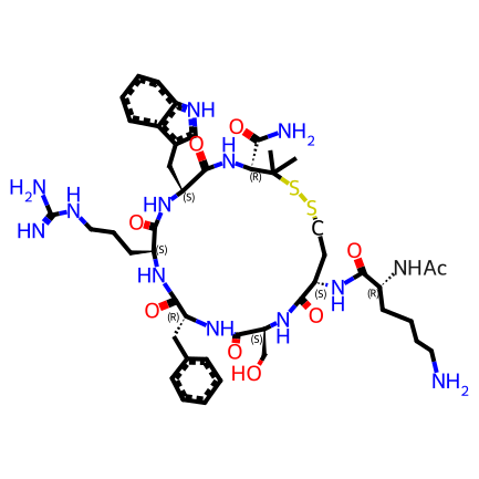 CC(=O)N[C@H](CCCCN)C(=O)N[C@H]1CCSSC(C)(C)[C@@H](C(N)=O)NC(=O)[C@H](Cc2c[nH]c3ccccc23)NC(=O)[C@H](CCCNC(=N)N)NC(=O)[C@@H](Cc2ccccc2)NC(=O)[C@H](CO)NC1=O